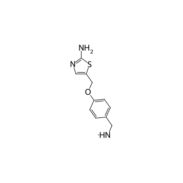 [NH]Cc1ccc(OCc2cnc(N)s2)cc1